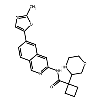 Cc1ncc(-c2ccc3cnc(NC(=O)C4(C5COCCN5)CCC4)cc3c2)o1